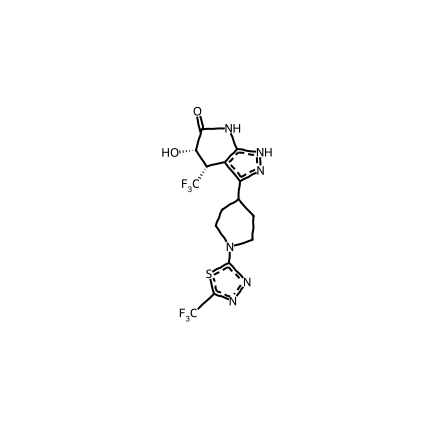 O=C1Nc2[nH]nc(C3CCN(c4nnc(C(F)(F)F)s4)CC3)c2[C@H](C(F)(F)F)[C@@H]1O